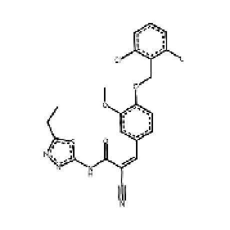 CCc1nnc(NC(=O)C(C#N)=Cc2ccc(OCc3c(Cl)cccc3Cl)c(OC)c2)s1